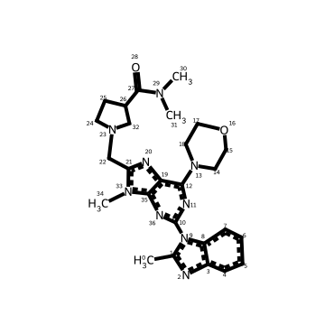 Cc1nc2ccccc2n1-c1nc(N2CCOCC2)c2nc(CN3CCC(C(=O)N(C)C)C3)n(C)c2n1